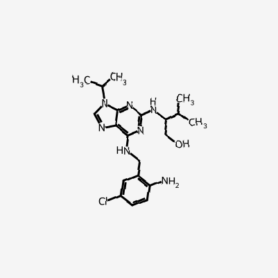 CC(C)C(CO)Nc1nc(NCc2cc(Cl)ccc2N)c2ncn(C(C)C)c2n1